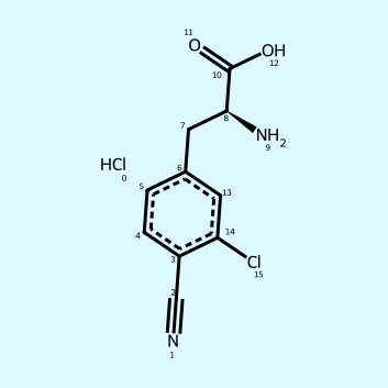 Cl.N#Cc1ccc(C[C@H](N)C(=O)O)cc1Cl